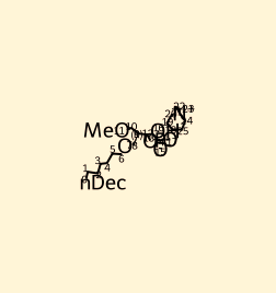 CCCCCCCCCCCCCCCCOC[C@@H](COC)COP(=O)(O)OC1CC[N+](C)(C)CC1